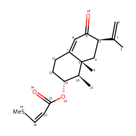 C=C(C)[C@H]1C[C@@]2(C)C(=CC1=O)CC[C@@H](OC(=O)/C=C\SC)[C@@H]2C